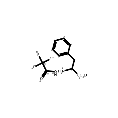 CCOC(=O)C(N)Cc1ccccc1.O=C(O)C(F)(F)F